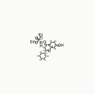 CCOP(=O)(O)OCC.O=c1cc(-c2ccccc2)oc2cc(O)ccc12